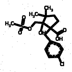 CC1(C)CCC(Cc2ccc(Cl)cc2)(C(=O)O)C1(O)COS(C)(=O)=O